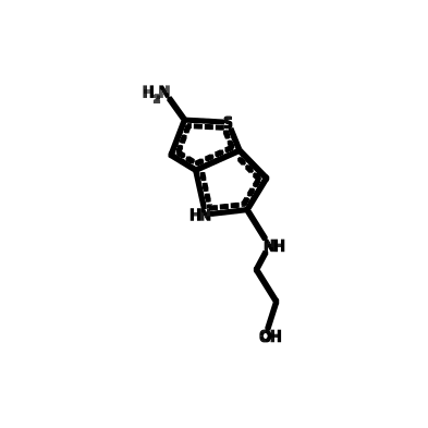 Nc1cc2[nH]c(NCCO)cc2s1